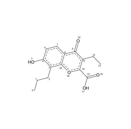 CCCc1c(O)ccc2c(=O)c(CC)c(C(=O)O)oc12